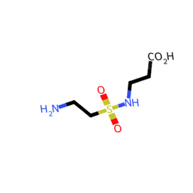 NCCS(=O)(=O)NCCC(=O)O